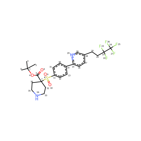 CC(C)(C)OC(=O)C1(S(=O)(=O)c2ccc(-c3ccc(CCC(F)(F)C(F)(F)F)cn3)cc2)CCNCC1